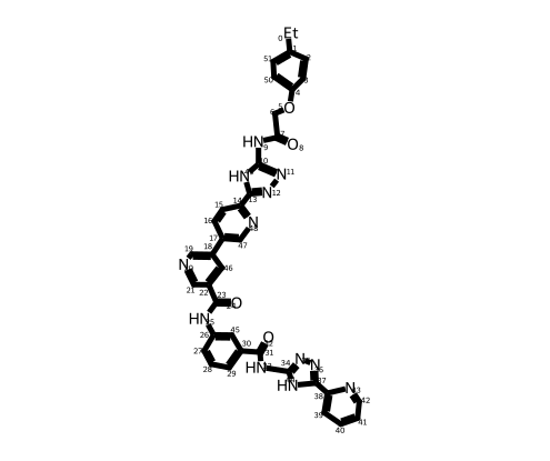 CCc1ccc(OCC(=O)Nc2nnc(-c3ccc(-c4cncc(C(=O)Nc5cccc(C(=O)Nc6nnc(-c7ccccn7)[nH]6)c5)c4)cn3)[nH]2)cc1